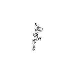 C=C(c1ncc(-c2cnc(-n3ccnc3)cc2O)nn1)[C@@H]1C[C@@]2(C)CCC[C@](C)(C2)[C@H]1F